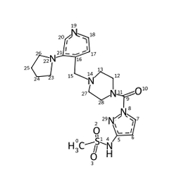 CS(=O)(=O)Nc1ccn(C(=O)N2CCN(Cc3ccncc3N3CCCC3)CC2)n1